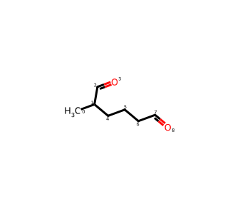 CC(C=O)CCCC=O